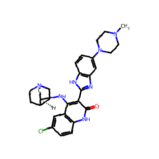 CN1CCN(c2ccc3[nH]c(-c4c(N[C@@H]5CN6CCC5CC6)c5cc(Cl)ccc5[nH]c4=O)nc3c2)CC1